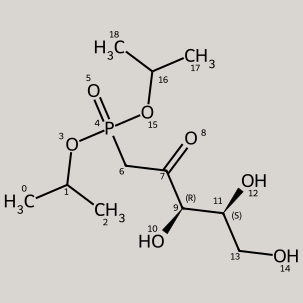 CC(C)OP(=O)(CC(=O)[C@H](O)[C@@H](O)CO)OC(C)C